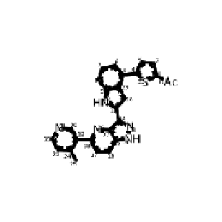 CC(=O)c1ccc(-c2cccc3[nH]c(-c4n[nH]c5ccc(-c6cnccc6C)nc45)cc23)s1